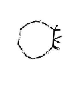 CC1(C)CCCCCCCCCCCOC(=O)C1(C)C